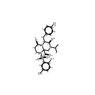 CC(C)N1CC2(C(N)=O)N(C(=O)[C]CN2S(=O)(=O)c2cc(Cl)ccc2F)C(Cc2ccc(Cl)cc2)C1=O